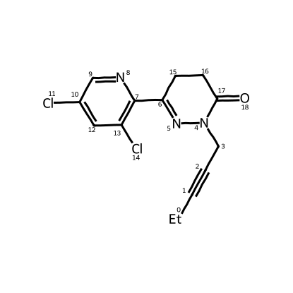 CCC#CCN1N=C(c2ncc(Cl)cc2Cl)CCC1=O